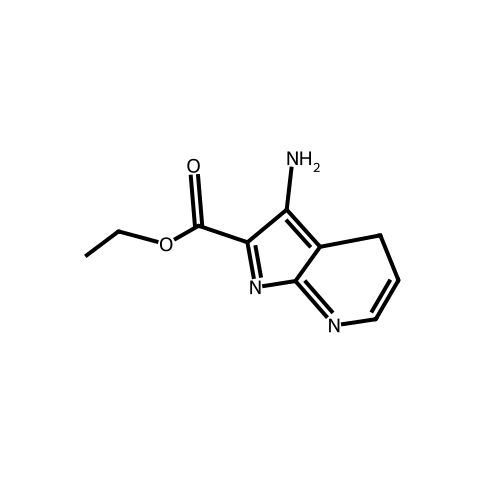 CCOC(=O)C1=NC2=NC=CCC2=C1N